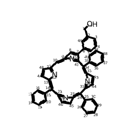 OCc1cccc(C2=CC3=CC4=NC(=C(c5ccccc5)C5=NC(=C(c6ccccc6)C6=NC(=C(c7ccccc7)C2=N3)C=C6)C=C5)C=C4)c1